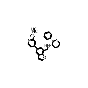 Cl.Cl.N#Cc1cc(-c2cc(CN[C@H]3CCCN[C@H]3c3ccccc3)c3occc3c2)ccn1